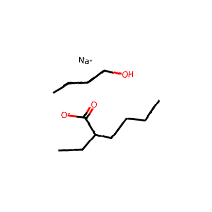 CCCCC(CC)C(=O)[O-].CCCCO.[Na+]